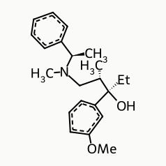 CC[C@](O)(c1cccc(OC)c1)[C@@H](C)CN(C)[C@H](C)c1ccccc1